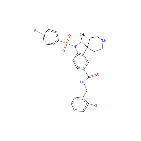 CC1N(S(=O)(=O)c2ccc(F)cc2)c2ccc(C(=O)NCc3ccccc3Cl)cc2C12CCNCC2